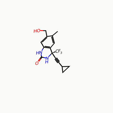 Cc1cc2c(cc1CO)NC(=O)N[C@]2(C#CC1CC1)C(F)(F)F